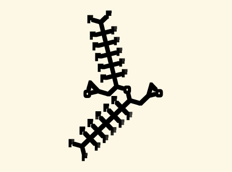 FC(F)C(F)(F)C(F)(F)C(F)(F)C(F)(F)C(F)(F)C(CC1CO1)OC(CC1CO1)C(F)(F)C(F)(F)C(F)(F)C(F)(F)C(F)(F)C(F)F